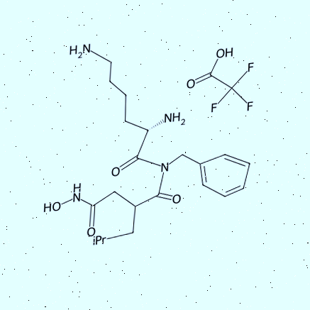 CC(C)CC(CC(=O)NO)C(=O)N(Cc1ccccc1)C(=O)[C@@H](N)CCCCN.O=C(O)C(F)(F)F